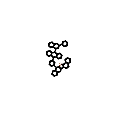 c1ccc(-c2cc(-c3c4ccccc4c(-c4cccc(-c5c6ccccc6cc6c5sc5c7ccccc7ccc65)c4)c4ccccc34)c3ccccc3c2)cc1